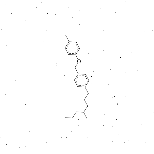 CCCC(C)CCCc1ccc(COc2ccc(C)cc2)cc1